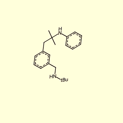 CC(C)(C)NCc1cccc(CC(C)(C)Nc2ccccc2)c1